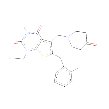 CC(C)Cn1c(=O)n(C)c(=O)c2c(CN3CCC(=O)CC3)c(Cc3ccccc3C(F)(F)F)sc21